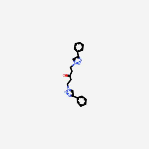 O=C(CCn1cc(-c2ccccc2)nn1)CCn1cc(-c2ccccc2)nn1